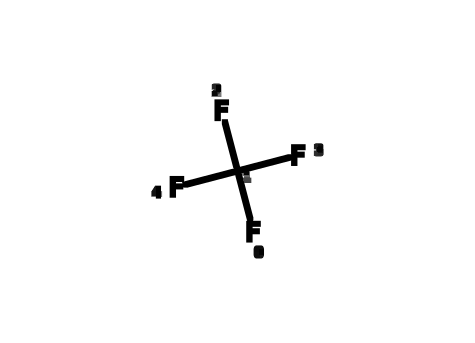 FC(F)(F)F